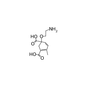 CC1=C(C(=O)O)CC(OCCN)(C(=O)O)C=C1